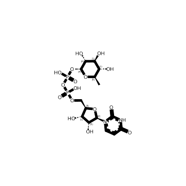 C[C@H]1O[C@H](OP(=O)(O)OP(=O)(O)OC[C@H]2O[C@@H](n3ccc(=O)[nH]c3=O)[C@H](O)[C@@H]2O)[C@H](O)[C@@H](O)[C@@H]1O